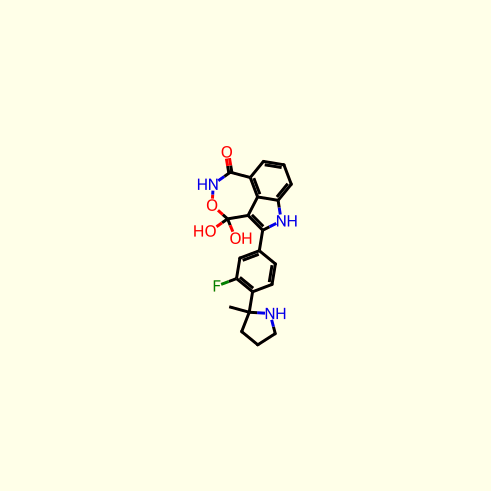 CC1(c2ccc(-c3[nH]c4cccc5c4c3C(O)(O)ONC5=O)cc2F)CCCN1